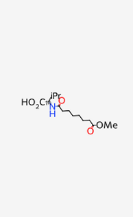 COC(=O)CCCCCCC(=O)N[C@H](C(=O)O)C(C)C